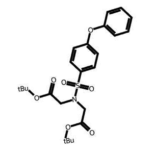 CC(C)(C)OC(=O)CN(CC(=O)OC(C)(C)C)S(=O)(=O)c1ccc(Oc2ccccc2)cc1